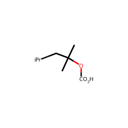 CC(C)CC(C)(C)OC(=O)O